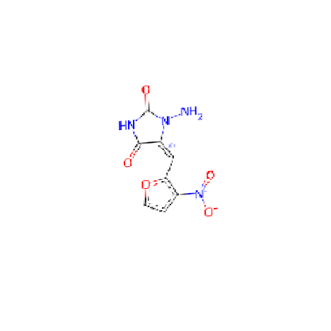 NN1C(=O)NC(=O)/C1=C\c1occc1[N+](=O)[O-]